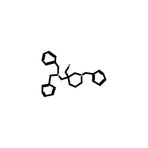 FCC1(CN(Cc2ccccc2)Cc2ccccc2)CCCN(Cc2ccccc2)C1